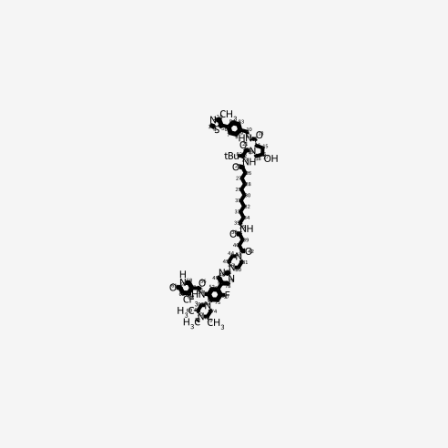 Cc1ncsc1-c1ccc(CNC(=O)[C@@H]2C[C@@H](O)CN2C(=O)C(NC(=O)CCCCCCCCCCNC(=O)CCC(=O)N2CCN(c3ncc(-c4cc(NC(=O)c5c[nH]c(=O)cc5C(F)(F)F)c(N5C[C@@H](C)N(C)[C@@H](C)C5)cc4F)cn3)CC2)C(C)(C)C)cc1